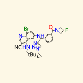 CC(C)(C)CNc1c(C#N)cnc2c(Br)cc(NC(c3cccc(C(=O)N4CC(F)C4)c3)c3cn(C4CC4)nn3)cc12